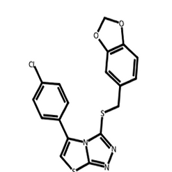 Clc1ccc(-c2csc3nnc(SCc4ccc5c(c4)OCO5)n23)cc1